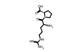 N=C(N)NCCCC(N)C(=O)N1CCC[C@@H]1C(=O)O